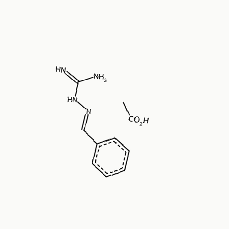 CC(=O)O.N=C(N)NN=Cc1ccccc1